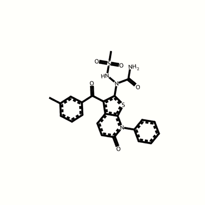 Cc1cccc(C(=O)c2c(N(NS(C)(=O)=O)C(N)=O)sc3c2ccc(=O)n3-c2ccccc2)c1